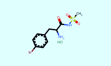 CS(=O)(=O)NC(=O)C(N)Cc1ccc(Br)cc1.Cl